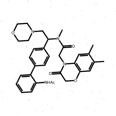 CC(=O)Nc1ccccc1-c1ccc(C(CN2CCOCC2)N(C)C(=O)CN2C(=O)COc3cc(C)c(C)cc32)cc1